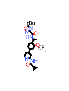 C[C@H](NC(=O)c1noc(C(C)(C)C)n1)c1ccc(-c2ccnc(NC(=O)C3CC3)c2)cc1OC(F)(F)F